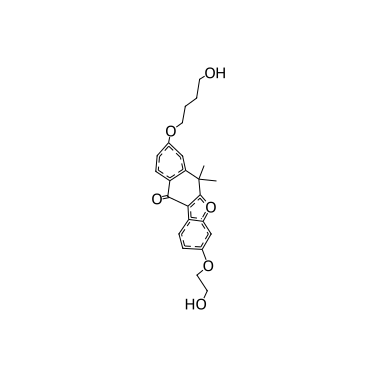 CC1(C)c2cc(OCCCCO)ccc2C(=O)c2c1oc1cc(OCCO)ccc21